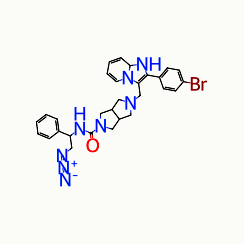 [N-]=[N+]=NCC(NC(=O)N1CC2CN(CC3=C(c4ccc(Br)cc4)NC4C=CC=CN34)CC2C1)c1ccccc1